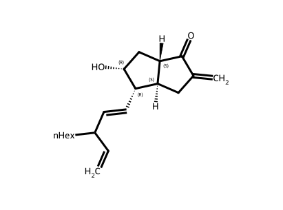 C=CC(C=C[C@H]1[C@@H]2CC(=C)C(=O)[C@H]2C[C@H]1O)CCCCCC